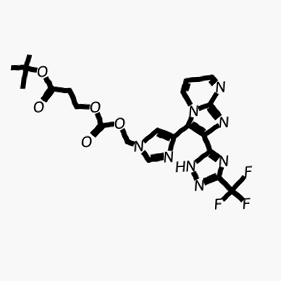 CC(C)(C)OC(=O)CCOC(=O)OCn1cnc(-c2c(-c3nc(C(F)(F)F)n[nH]3)nc3ncccn23)c1